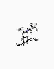 COc1cc(OC)nc(SC(/C=N/NC(=O)N(C)C)C(C)(C)C)n1